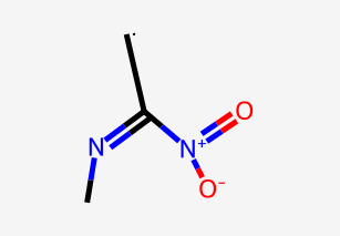 [CH2]C(=NC)[N+](=O)[O-]